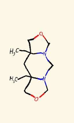 CC12COCN1CN1COCC1(C)C2